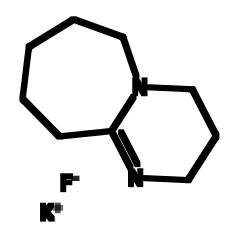 C1CCC2=NCCCN2CC1.[F-].[K+]